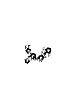 Fc1cccc(F)c1-c1nc2cc(Nc3ccc(N4CCC(F)(F)C4)c(CN4CCCC4)n3)ncc2s1